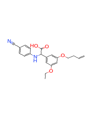 C=CCCOc1cc(OCC)cc(C(Nc2ccc(C#N)cc2)C(=O)O)c1